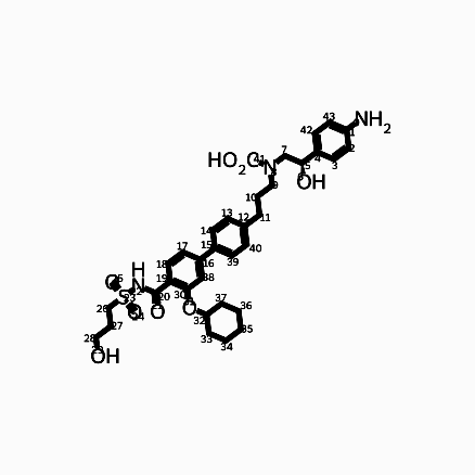 Nc1ccc([C@@H](O)CN(CCCc2ccc(-c3ccc(C(=O)NS(=O)(=O)CCCO)c(OC4CCCCC4)c3)cc2)C(=O)O)cc1